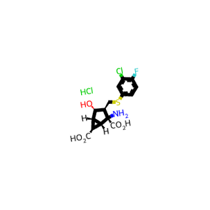 Cl.N[C@]1(C(=O)O)[C@@H]2[C@@H](C(=O)O)[C@@H]2[C@H](O)[C@H]1CSc1ccc(F)c(Cl)c1